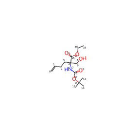 C=CCCC(CO)(NC(=O)OC(C)(C)C)C(=O)OCC